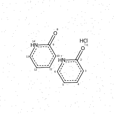 Cl.O=c1cccc[nH]1.O=c1cccc[nH]1